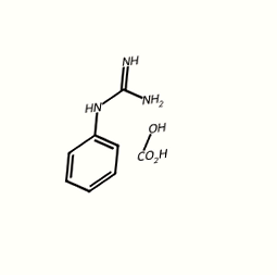 N=C(N)Nc1ccccc1.O=C(O)O